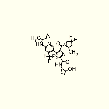 CC1CC(F)(F)CN1C(=O)c1nc(C(=O)N[C@@H]2CC[C@@H]2O)sc1-c1cnc(N[C@@H](C)C2CC2)cc1C(F)(F)F